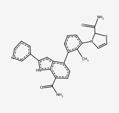 Cc1c(-c2ccc(C(N)=O)c3[nH]c(-c4cccnc4)cc23)cccc1N1C=CSC1C(N)=O